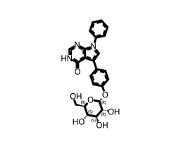 O=c1[nH]cnc2c1c(-c1ccc(O[C@H]3O[C@H](CO)[C@@H](O)[C@H](O)[C@H]3O)cc1)cn2-c1ccccc1